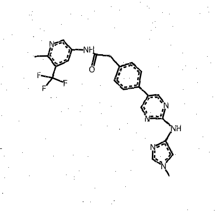 Cc1ncc(NC(=O)Cc2ccc(-c3cnc(Nc4cn(C)cn4)nc3)cc2)cc1C(F)(F)F